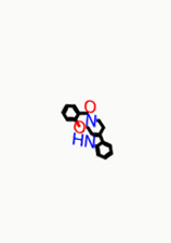 O=C1c2ccccc2OC2c3[nH]c4ccccc4c3CCN12